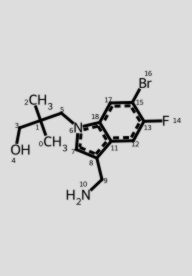 CC(C)(CO)Cn1cc(CN)c2cc(F)c(Br)cc21